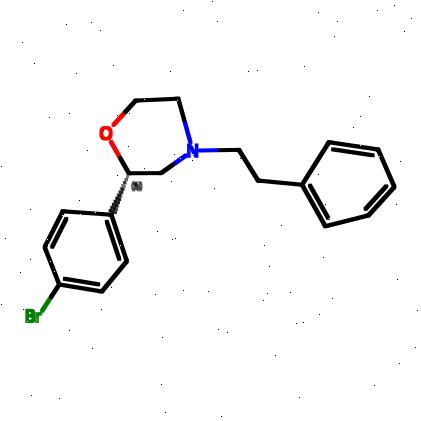 Brc1ccc([C@H]2CN(CCc3ccccc3)CCO2)cc1